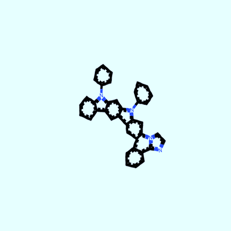 c1ccc(-n2c3ccccc3c3cc4c5cc6c7ccccc7c7nccn7c6cc5n(-c5ccccc5)c4cc32)cc1